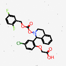 O=C(O)COc1ccc(Cl)cc1C1c2ccccc2CCN1OC(=O)OCc1cc(F)ccc1F